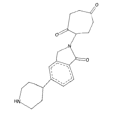 O=C1CCC(=O)C(N2Cc3cc(C4CCNCC4)ccc3C2=O)CC1